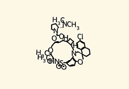 CN(C)C[C@H]1CCCN1C(=O)O[C@H]1/C=C/COC(C)(C)C(=O)NS(=O)(=O)c2ccc3c(c2)N(C[C@@H]2CC[C@H]21)C[C@@]1(CCCc2cc(Cl)ccc21)CO3